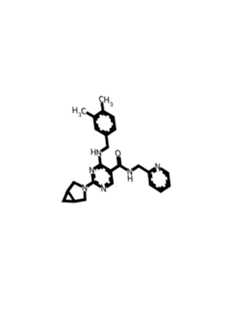 Cc1ccc(CNc2nc(N3CC4CC4C3)ncc2C(=O)NCc2ccccn2)cc1C